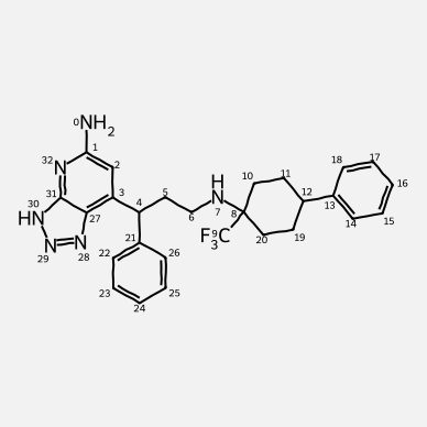 Nc1cc(C(CCNC2(C(F)(F)F)CCC(c3ccccc3)CC2)c2ccccc2)c2nn[nH]c2n1